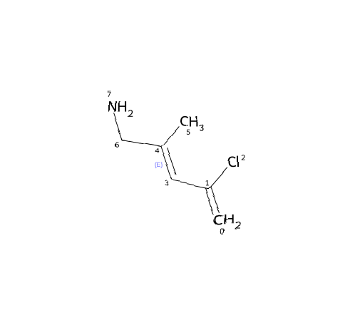 C=C(Cl)/C=C(\C)CN